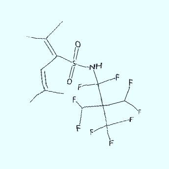 CC(C)=CC(=C(C)C)S(=O)(=O)NC(F)(F)C(C(F)F)(C(F)F)C(F)(F)F